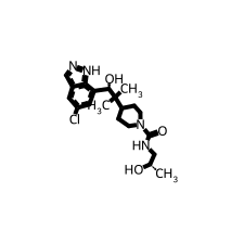 C[C@H](O)CNC(=O)N1CCC(C(C)(C)[C@H](O)c2cc(Cl)cc3cn[nH]c23)CC1